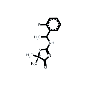 CC(NC1=NC(=O)[C@@](C)(C(F)(F)F)S1)c1ccccc1F